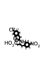 O=C(O)CC(Cc1ccc([N+](=O)[O-])cc1)NC(=O)Cc1ccc(Cl)cc1Cl